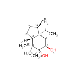 CC[C@]12C[C@@H](O)[C@@](C)(O)C(C)(C)[C@@H]1CC[C@H]2C